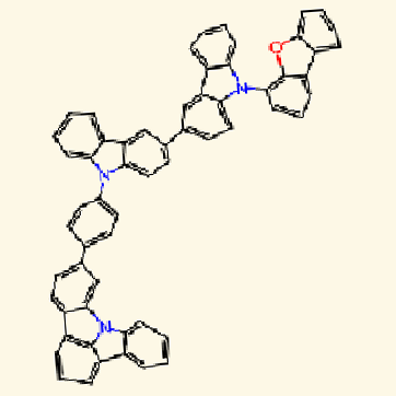 c1ccc2c(c1)oc1c(-n3c4ccccc4c4cc(-c5ccc6c(c5)c5ccccc5n6-c5ccc(-c6ccc7c8cccc9c%10ccccc%10n(c7c6)c98)cc5)ccc43)cccc12